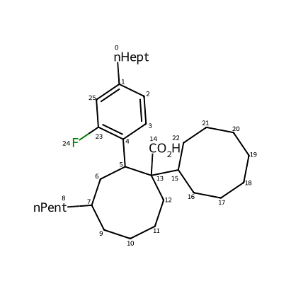 CCCCCCCc1ccc(C2CC(CCCCC)CCCCC2(C(=O)O)C2CCCCCCC2)c(F)c1